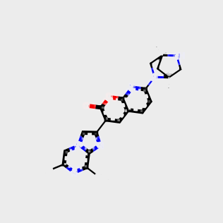 Cc1cn2cc(-c3cc4ccc(N5C[C@@H]6C[C@H]5CN6)nc4oc3=O)nc2c(C)n1